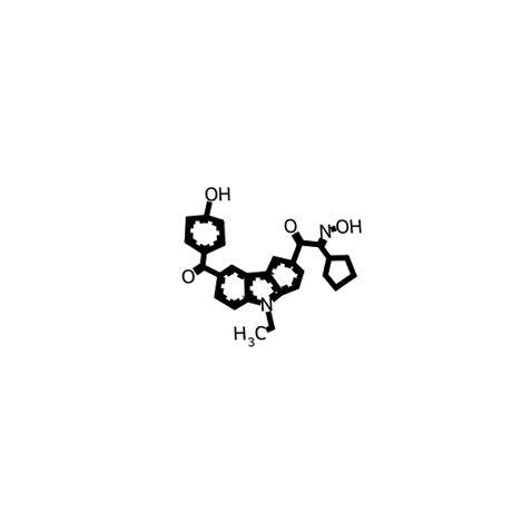 CCn1c2ccc(C(=O)/C(=N/O)C3CCCC3)cc2c2cc(C(=O)c3ccc(O)cc3)ccc21